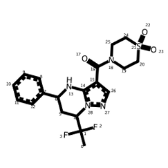 CC(F)(F)C1CC(c2ccccc2)Nc2c(C(=O)N3CCS(=O)(=O)CC3)cnn21